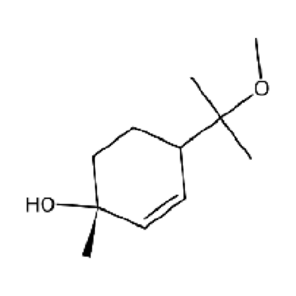 COC(C)(C)C1C=C[C@](C)(O)CC1